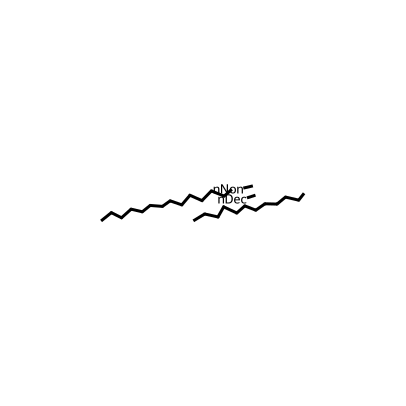 CCCCCCCCCC.CCCCCCCCCCC.CCCCCCCCCCCC.CCCCCCCCCCCCCC